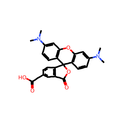 CN(C)c1ccc2c(c1)Oc1cc(N(C)C)ccc1C21OC(=O)c2cc(C(=O)O)ccc21